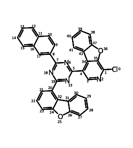 Clc1ncc(-c2nc(-c3ccc4ccccc4c3)nc(-c3cccc4oc5ccccc5c34)n2)c2c1oc1ccccc12